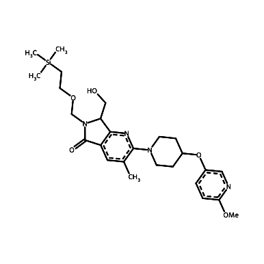 COc1ccc(OC2CCN(c3nc4c(cc3C)C(=O)N(COCC[Si](C)(C)C)C4CO)CC2)cn1